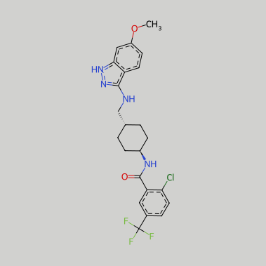 COc1ccc2c(NC[C@H]3CC[C@H](NC(=O)c4cc(C(F)(F)F)ccc4Cl)CC3)n[nH]c2c1